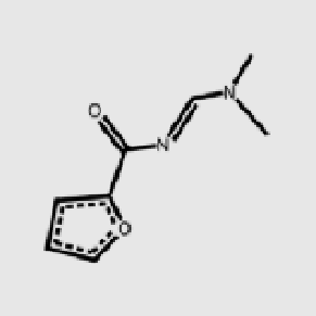 CN(C)C=NC(=O)c1ccco1